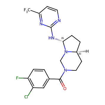 O=C(c1ccc(F)c(Cl)c1)N1CC[C@@H]2CC[C@@H](Nc3nccc(C(F)(F)F)n3)N2C1